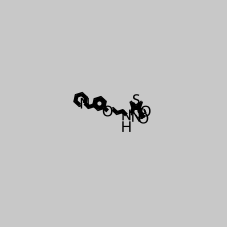 O=S1(=O)N=C(NCCCOc2cccc(CN3CCCCC3)c2)c2cscc21